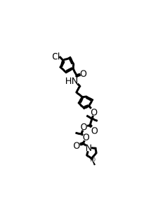 CC(OC(=O)N1CC[C@@H](C)C1)OC(=O)C(C)(C)Oc1ccc(CCNC(=O)c2ccc(Cl)cc2)cc1